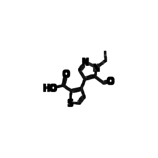 CCn1ncc(-c2ccsc2C(=O)O)c1C=O